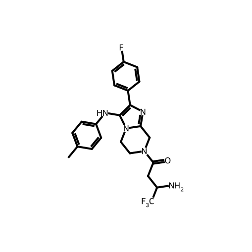 Cc1ccc(Nc2c(-c3ccc(F)cc3)nc3n2CCN(C(=O)CC(N)C(F)(F)F)C3)cc1